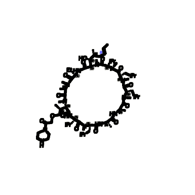 C/C=C/C[C@@H](C)[C@@H](O)[C@H]1C(=O)N[C@@H](CC)C(=O)N(C)[C@H](C)C(=O)N(C)[C@@H]([C@H](C)COCC(=O)N2CCNCC2)C(=O)N[C@@H](C(C)C)C(=O)N(C)[C@@H](CC(C)C)C(=O)N[C@@H](C)C(=O)N[C@H](C)C(=O)N(C)[C@@H](CC(C)C)C(=O)N(C)[C@@H](CC(C)C)C(=O)N(C)[C@@H](C(C)C)C(=O)N1C